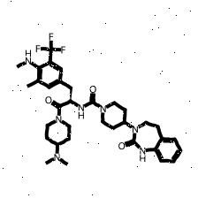 CNc1c(C)cc(C[C@@H](NC(=O)N2CCC(N3CCc4ccccc4NC3=O)CC2)C(=O)N2CCC(N(C)C)CC2)cc1C(F)(F)F